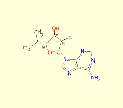 CC(C)[C@H]1O[C@@H](n2cnc3c(N)ncnc32)[C@H](F)[C@@H]1O